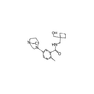 Cc1ccc(N2CCN3CCC2CC3)cc1C(=O)NCC1(CO)CCC1